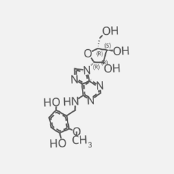 COc1c(O)ccc(O)c1CNc1ncnc2c1ncn2[C@@H]1O[C@H](CO)[C@@H](O)[C@H]1O